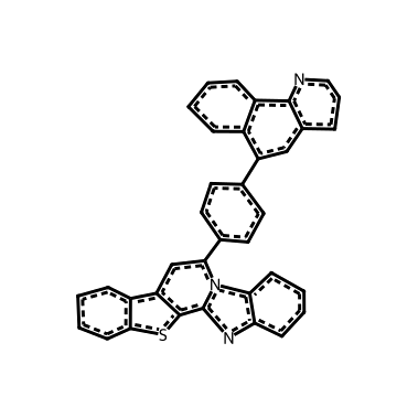 c1cnc2c(c1)cc(-c1ccc(-c3cc4c5ccccc5sc4c4nc5ccccc5n34)cc1)c1ccccc12